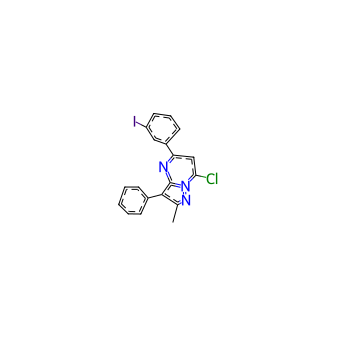 Cc1nn2c(Cl)cc(-c3cccc(I)c3)nc2c1-c1ccccc1